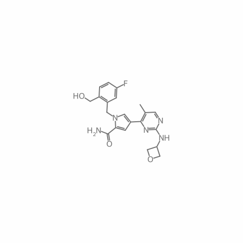 Cc1cnc(NC2COC2)nc1-c1cc(C(N)=O)n(Cc2cc(F)ccc2CO)c1